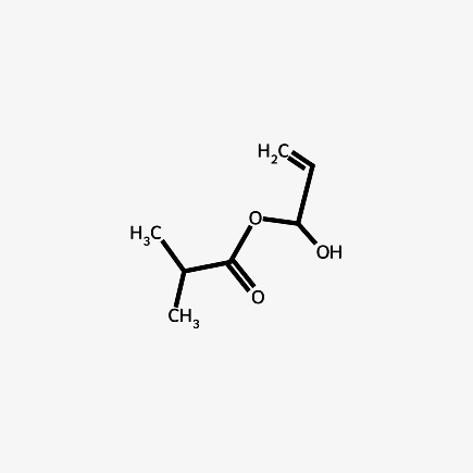 C=CC(O)OC(=O)C(C)C